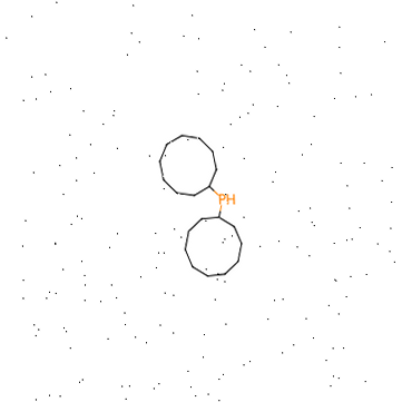 C1CCCCC(PC2CCCCCCCCC2)CCCC1